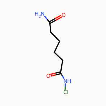 NC(=O)CCCCC(=O)NCl